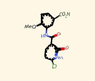 COc1ccc(C(=O)O)cc1NC(=O)c1ccc(Cl)[nH]c1=O